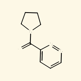 O=C(c1cc[c]nn1)N1CCCC1